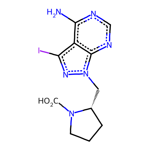 Nc1ncnc2c1c(I)nn2C[C@@H]1CCCN1C(=O)O